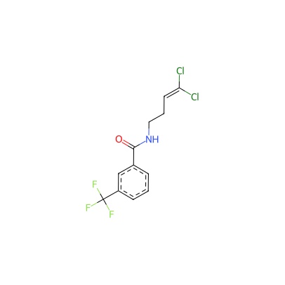 O=C(NCCC=C(Cl)Cl)c1cccc(C(F)(F)F)c1